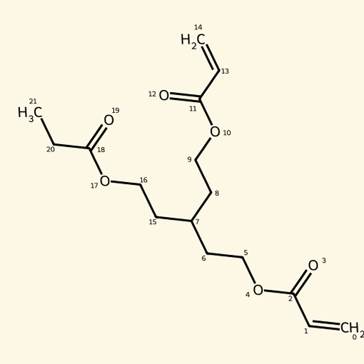 C=CC(=O)OCCC(CCOC(=O)C=C)CCOC(=O)CC